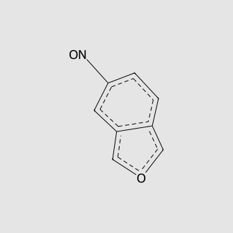 O=Nc1ccc2cocc2c1